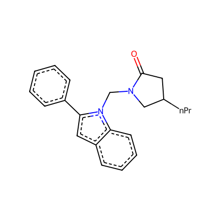 CCCC1CC(=O)N(Cn2c(-c3ccccc3)cc3ccccc32)C1